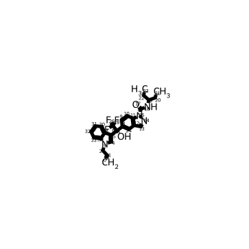 C=CCn1cc(C(O)(c2ccc3c(cnn3C(=O)NC(CC)CC)c2)C(F)(F)F)c2ccccc21